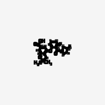 CC1(C)Cc2c(Oc3cccc(F)c3C(=O)N3CC[C@H](F)C3)cc(C(=O)O)cc2O1